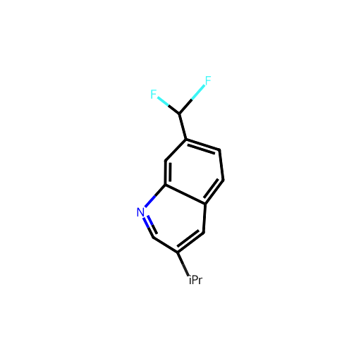 CC(C)c1cnc2cc(C(F)F)ccc2c1